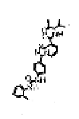 CC(=O)[C@@H](NC(=O)c1cccn2c(-c3ccc(NC(=O)Nc4ccccc4C)cc3)nnc12)C(C)C